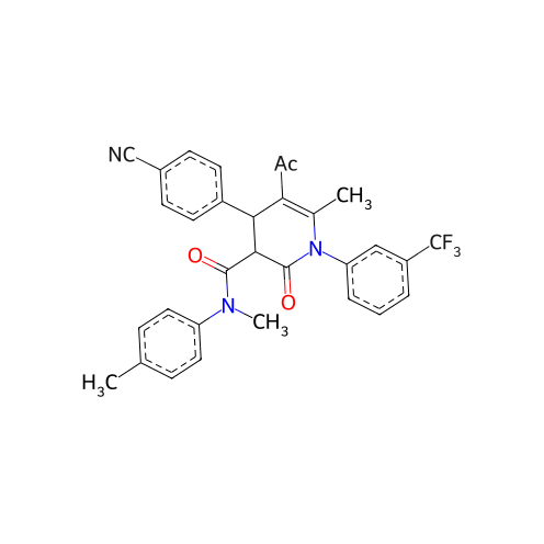 CC(=O)C1=C(C)N(c2cccc(C(F)(F)F)c2)C(=O)C(C(=O)N(C)c2ccc(C)cc2)C1c1ccc(C#N)cc1